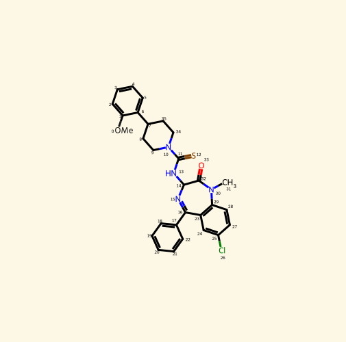 COc1ccccc1C1CCN(C(=S)NC2N=C(c3ccccc3)c3cc(Cl)ccc3N(C)C2=O)CC1